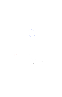 CC(O)[C@H]1C(=O)N2C(OC(=O)O)=C(SCCn3cnnn3)S[C@H]12